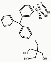 CCC(CO)(CO)CO.N=C=O.N=C=O.N=C=O.c1ccc(C(c2ccccc2)c2ccccc2)cc1